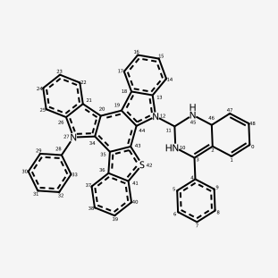 C1=CC2=C(c3ccccc3)NC(n3c4ccccc4c4c5c6ccccc6n(-c6ccccc6)c5c5c6ccccc6sc5c43)NC2C=C1